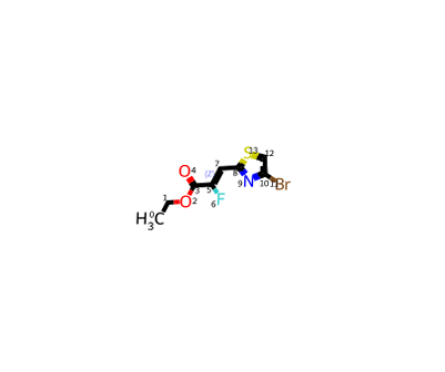 CCOC(=O)/C(F)=C/c1nc(Br)cs1